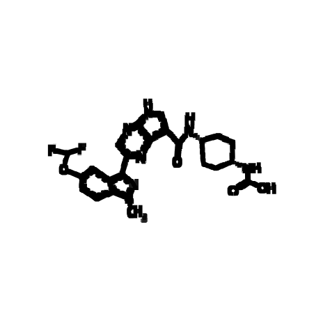 Cn1nc(-c2cnc3[nH]cc(C(=O)N[C@H]4CC[C@@H](NC(=O)O)CC4)c3n2)c2cc(OC(F)F)ccc21